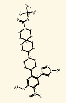 COc1cc(N2CCN(C3CCC4(CC3)CCN(C(=O)OC(C)(C)C)CC4)CC2)c(-c2cnn(C)c2)cc1[N+](=O)[O-]